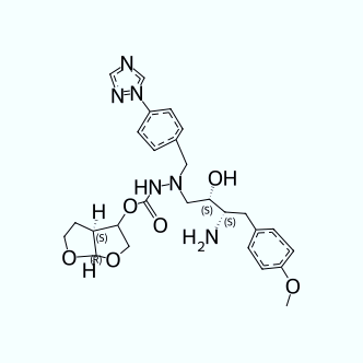 COc1ccc(C[C@H](N)[C@@H](O)CN(Cc2ccc(-n3cncn3)cc2)NC(=O)OC2CO[C@H]3OCC[C@@H]23)cc1